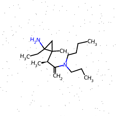 C=C([C@@H](C)C1(C)CC1(N)CC)N(CCC)CCCC